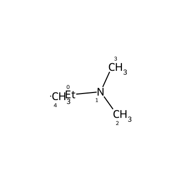 CCN(C)C.[CH3]